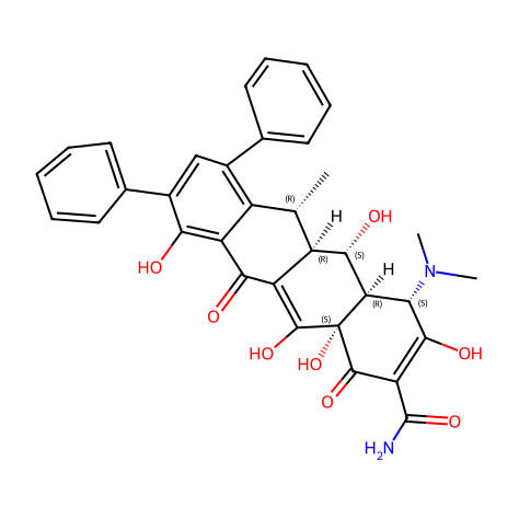 C[C@H]1c2c(-c3ccccc3)cc(-c3ccccc3)c(O)c2C(=O)C2=C(O)[C@]3(O)C(=O)C(C(N)=O)=C(O)[C@@H](N(C)C)[C@@H]3[C@@H](O)[C@@H]21